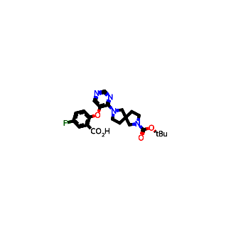 CC(C)(C)OC(=O)N1CCC2(CCN(c3ncncc3Oc3ccc(F)cc3C(=O)O)C2)C1